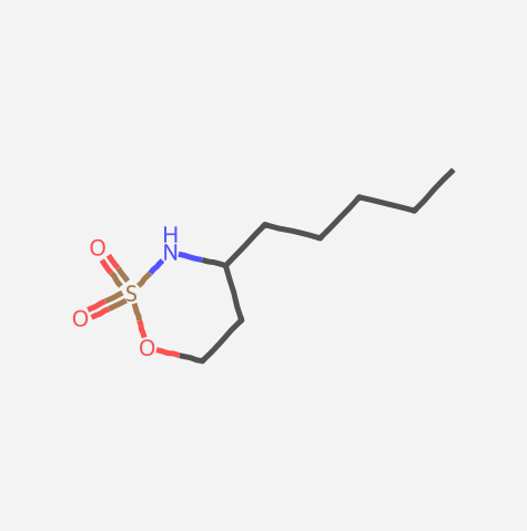 CCCCCC1CCOS(=O)(=O)N1